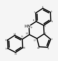 C1=CC2c3ccccc3NC(c3ccccc3)C2C1